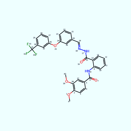 COc1ccc(C(=O)Nc2ccccc2C(=O)NN=Cc2cccc(Oc3cccc(C(F)(F)F)c3)c2)cc1OC